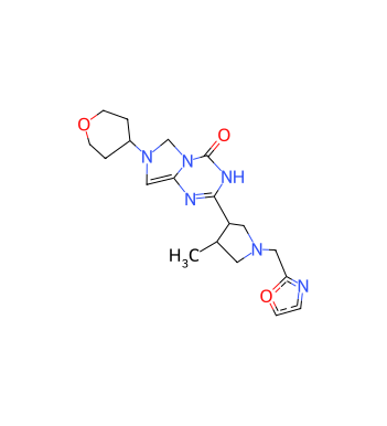 CC1CN(Cc2ncco2)CC1C1=NC2=CN(C3CCOCC3)CN2C(=O)N1